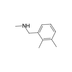 CNCc1cccc(C)c1C